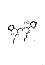 CCCCOC(CSCC(OCCCC)c1ccccc1O)c1ccccc1O